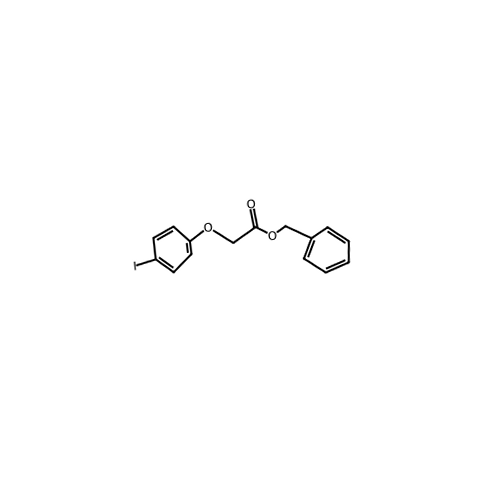 O=C(COc1ccc(I)cc1)OCc1ccccc1